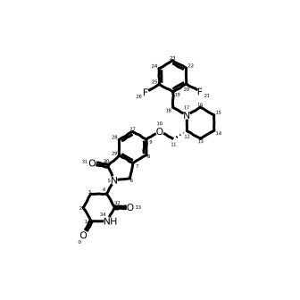 O=C1CCC(N2Cc3cc(OC[C@H]4CCCCN4Cc4c(F)cccc4F)ccc3C2=O)C(=O)N1